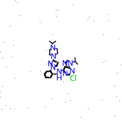 CC(C)N1CCN(c2ccn(-c3ccccc3CNc3nc(Cl)nc4c3ncn4C(C)C)n2)CC1